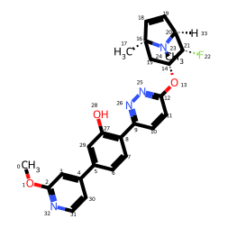 COc1cc(-c2ccc(-c3ccc(O[C@@H]4C[C@@]5(C)C=C[C@@H]([C@@H]4F)N5C)nn3)c(O)c2)ccn1